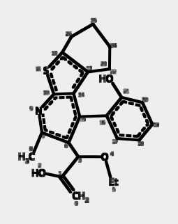 C=C(O)C(OCC)c1c(C)nc2sc3c(c2c1-c1ccccc1O)CCCC3